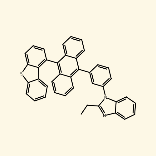 CCc1nc2ccccc2n1-c1cccc(-c2c3ccccc3c(-c3cccc4sc5ccccc5c34)c3ccccc23)c1